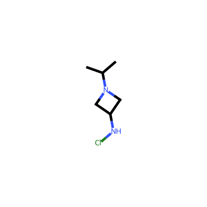 CC(C)N1CC(NCl)C1